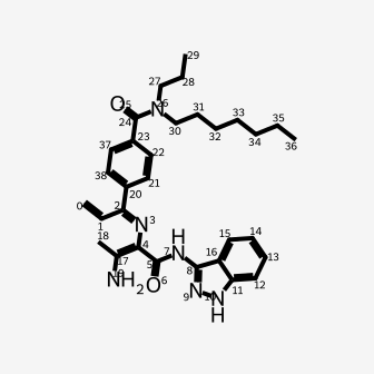 C=C/C(=N\C(C(=O)Nc1n[nH]c2ccccc12)=C(/C)N)c1ccc(C(=O)N(CCC)CCCCCCC)cc1